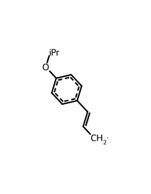 [CH2]C=Cc1ccc(OC(C)C)cc1